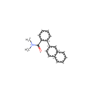 CN(C)C(=O)c1ccccc1-c1ccc2ccccc2c1